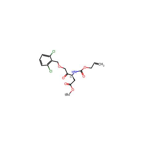 C=CCOC(=O)N[C@@H](CC(=O)OC(C)(C)C)C(=O)COCc1c(Cl)cccc1Cl